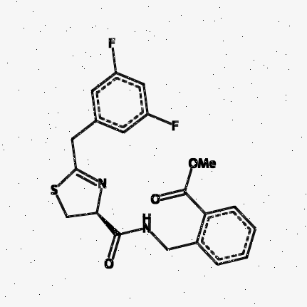 COC(=O)c1ccccc1CNC(=O)[C@H]1CSC(Cc2cc(F)cc(F)c2)=N1